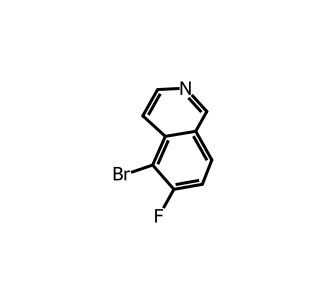 Fc1ccc2cnccc2c1Br